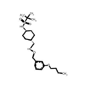 CCCCOc1cccc(CONC[C@H]2CC[C@H](NS(=O)(=O)C(C)(C)C)CC2)c1